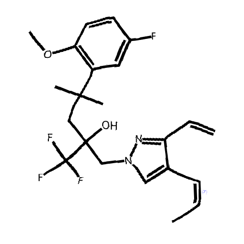 C=Cc1nn(CC(O)(CC(C)(C)c2cc(F)ccc2OC)C(F)(F)F)cc1/C=C\C